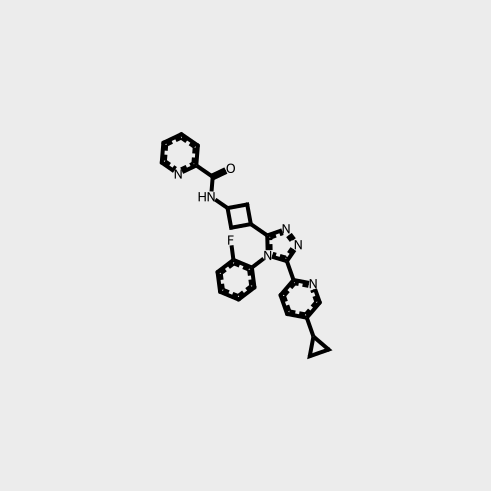 O=C(NC1CC(c2nnc(-c3ccc(C4CC4)cn3)n2-c2ccccc2F)C1)c1ccccn1